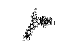 CCCc1cc(COc2ccc(C3CCN(C(=O)CC)CC3)cc2C)c(-c2cccc(-n3ncc(C(=O)O)c3C(F)(F)F)n2)s1